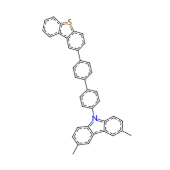 Cc1ccc2c(c1)c1cc(C)ccc1n2-c1ccc(-c2ccc(-c3ccc4sc5ccccc5c4c3)cc2)cc1